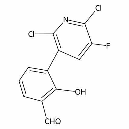 O=Cc1cccc(-c2cc(F)c(Cl)nc2Cl)c1O